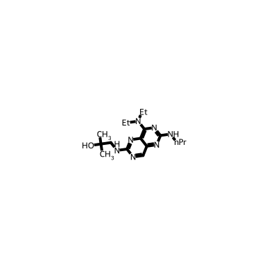 CCCNc1nc(N(CC)CC)c2nc(NCC(C)(C)O)ncc2n1